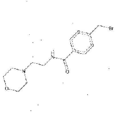 O=C(NCCN1CCOCC1)c1ccc(CBr)cc1